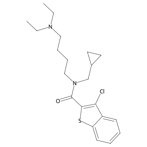 CCN(CC)CCCCN(CC1CC1)C(=O)c1sc2ccccc2c1Cl